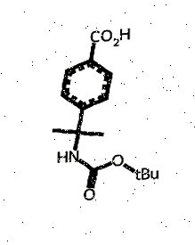 CC(C)(C)OC(=O)NC(C)(C)c1ccc(C(=O)O)cc1